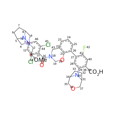 COCCN1CC2CCC(C1)N2c1cc(Cl)c(C(=O)N2COc3c(cccc3-c3cc(N4C5CCC4COC5)c(C(=O)O)cc3F)C2)c(Cl)c1